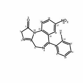 O=C1CN=C2CN=C(c3ccccc3F)c3cc([N+](=O)[O-])ccc3N12